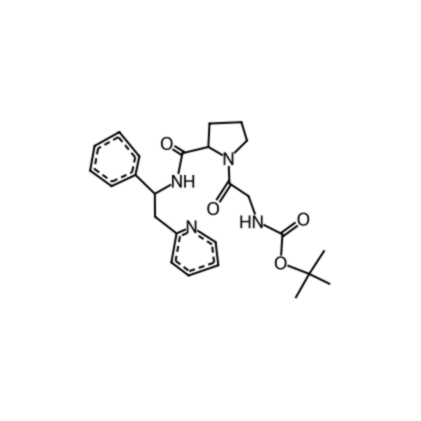 CC(C)(C)OC(=O)NCC(=O)N1CCCC1C(=O)NC(Cc1ccccn1)c1ccccc1